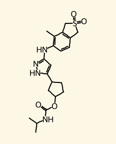 Cc1c(Nc2cc(C3CCC(OC(=O)NC(C)C)C3)[nH]n2)ccc2c1CS(=O)(=O)C2